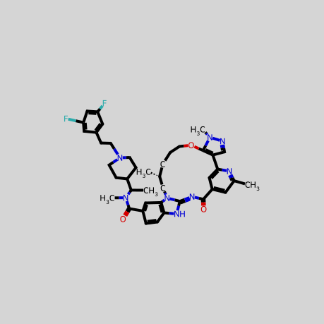 Cc1cc2cc(n1)-c1cnn(C)c1OCCC[C@@H](C)CN1/C(=N/C2=O)Nc2ccc(C(=O)N(C)C(C)C3CCN(CCc4cc(F)cc(F)c4)CC3)cc21